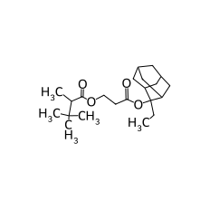 CCC1(OC(=O)CCOC(=O)C(C)C(C)(C)C)C2CC3CC(C2)CC1C3